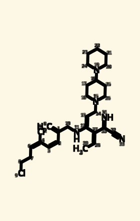 C=C(/C=C\C(Cl)=C/CCCl)CNC(=C/CN1CCC(N2CCCCC2)CC1)/C(=C\C)C(=N)C#N